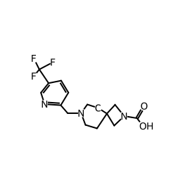 O=C(O)N1CC2(CCN(Cc3ccc(C(F)(F)F)cn3)CC2)C1